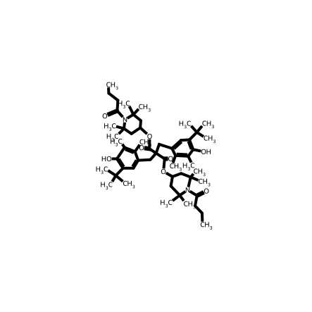 CCCC(=O)N1C(C)(C)CC(OC(=O)C(Cc2cc(C(C)(C)C)c(O)c(C)c2C)(Cc2cc(C(C)(C)C)c(O)c(C)c2C)C(=O)OC2CC(C)(C)N(C(=O)CCC)C(C)(C)C2)CC1(C)C